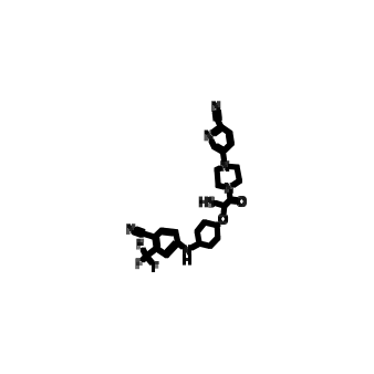 N#Cc1ccc(N2CCN(C(=O)C(S)OC3CCC(Nc4ccc(C#N)c(C(F)(F)F)c4)CC3)CC2)cn1